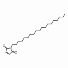 CCCCCCCCCCCCCCCCCCCN1C(=O)C=CC1=O